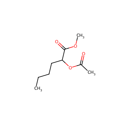 CCCCC(OC(C)=O)C(=O)OC